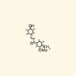 COc1cc(C(=O)/C=C/c2ccc(O)cc2)ccc1C